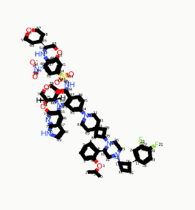 CC(C)Oc1ccccc1[C@@H]1CN([C@@H]2CC[C@H]2c2ccc(F)c(F)c2)CCN1C1CC2(CCN(c3ccc(C(=O)NS(=O)(=O)c4cc5c(c([N+](=O)[O-])c4)N[C@H](C4CCOCC4)CO5)c(N4c5cc6cc[nH]c6nc5O[C@H]5COCC[C@@H]54)c3)CC2)C1